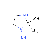 CC1(C)NCCN1N